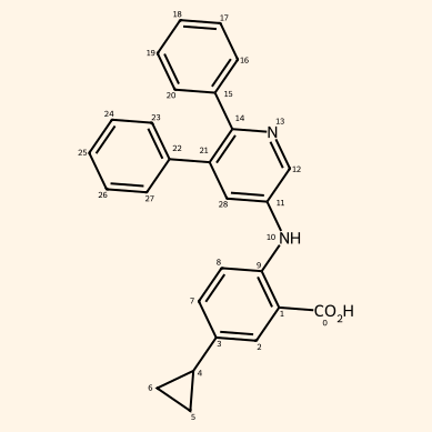 O=C(O)c1cc(C2CC2)ccc1Nc1cnc(-c2ccccc2)c(-c2ccccc2)c1